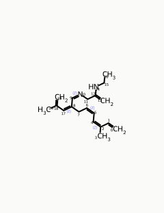 C=C/C(C)=C\C=C/CC(/C=N\CC(=C)NCC)=C/C(=C)C